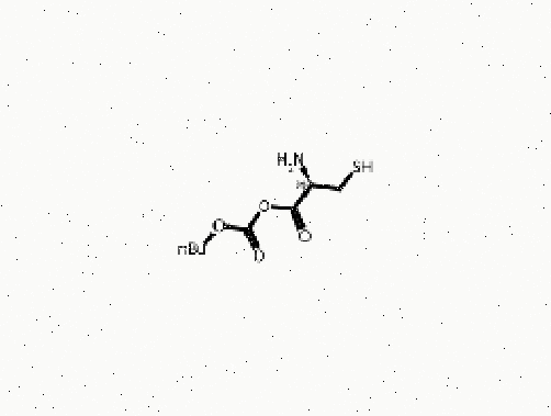 CCCCOC(=O)OC(=O)[C@@H](N)CS